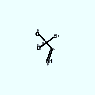 N=CC(Cl)(Cl)Cl